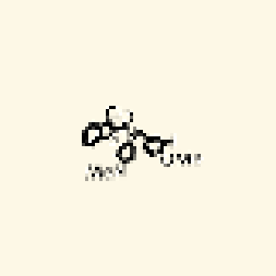 CNC1CCC(N(Cc2ccc(OC)c(I)c2)C(=O)c2sc3ccccc3c2Cl)CC1